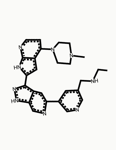 CCNCc1cncc(-c2cc3c(-c4cc5c(N6CCN(C)CC6)ccnc5[nH]4)n[nH]c3cn2)c1